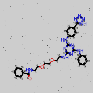 O=C(NCCOCCOCCNc1nc(Nc2ccccc2)nc(Nc2ccc(-c3nnn[nH]3)cc2)n1)c1ccccc1